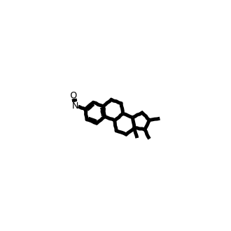 CC1CC2C3CCc4cc(N=O)ccc4C3CCC2(C)C1C